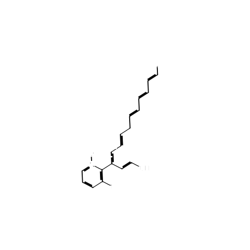 CC=CC=CC=CCC=CC=C(C=CC)c1c(F)ccc[n+]1[O-]